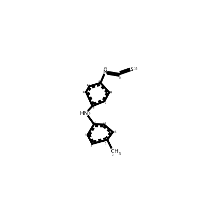 Cc1ccc(Nc2ccc(N=C=S)cc2)cc1